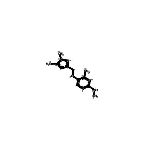 CNc1ncc(OCc2cc(C)n(C)n2)c(C)n1